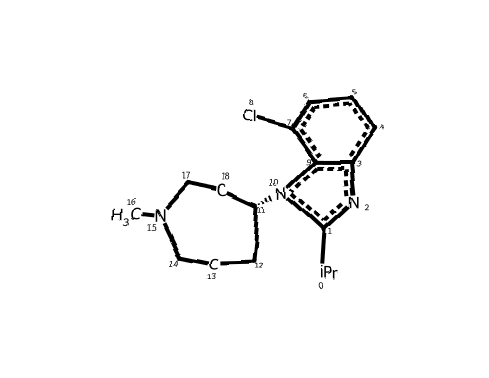 CC(C)c1nc2cccc(Cl)c2n1[C@@H]1CCCN(C)CC1